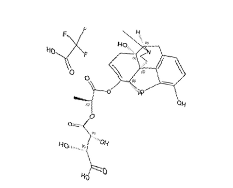 C[C@H](OC(=O)[C@H](O)[C@@H](O)C(=O)O)C(=O)OC1=CC[C@@]2(O)[C@H]3Cc4ccc(O)c5c4[C@@]2(CCN3C)[C@H]1O5.O=C(O)C(F)(F)F